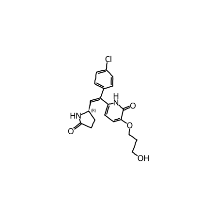 O=C1CC[C@H](C=C(c2ccc(Cl)cc2)c2ccc(OCCCO)c(=O)[nH]2)N1